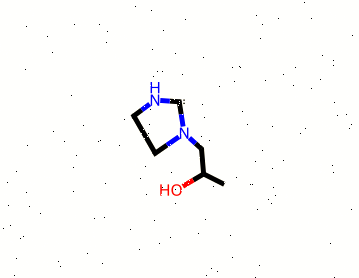 CC(O)CN1[C]NCC1